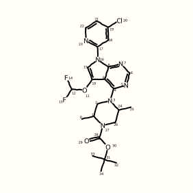 CC1CN(c2ncnc3c2c(OC(F)F)cn3-c2cc(Cl)ccn2)C(C)CN1C(=O)OC(C)(C)C